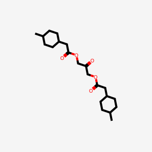 CC1CCC(CC(=O)OCC(=O)COC(=O)CC2CCC(C)CC2)CC1